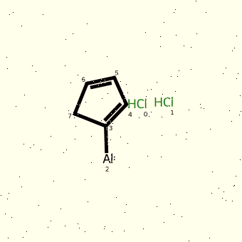 Cl.Cl.[Al][C]1=CC=CC1